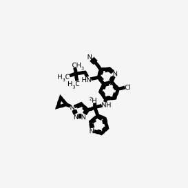 [2H]C(Nc1cc(Cl)c2ncc(C#N)c(NCC(C)(C)C)c2c1)(c1cccnc1)c1cn(C2CC2)nn1